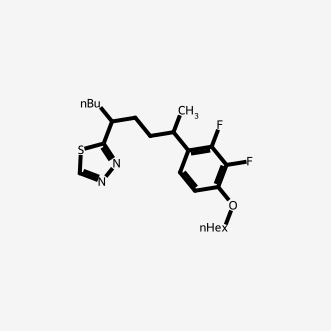 CCCCCCOc1ccc(C(C)CCC(CCCC)c2nncs2)c(F)c1F